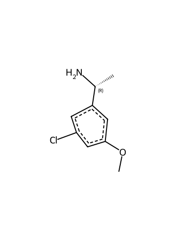 COc1cc(Cl)cc([C@@H](C)N)c1